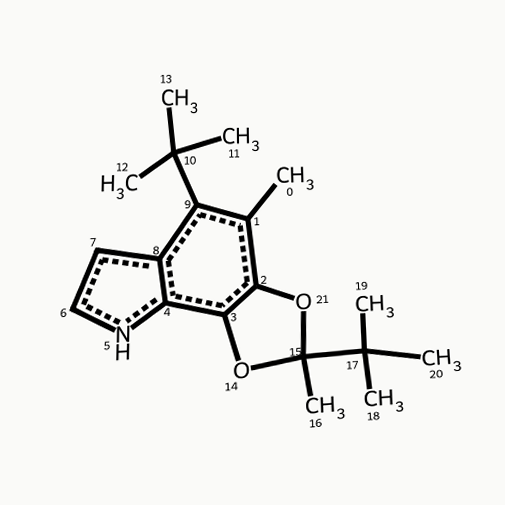 Cc1c2c(c3[nH]ccc3c1C(C)(C)C)OC(C)(C(C)(C)C)O2